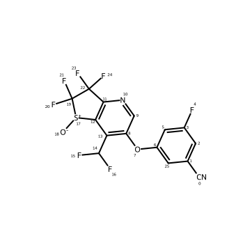 N#Cc1cc(F)cc(Oc2cnc3c(c2C(F)F)[S+]([O-])C(F)(F)C3(F)F)c1